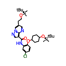 CC(C)(C)[Si](C)(C)OCCc1cnc2c(C(=O)Nc3cc(Cl)ccc3OC3CCC(O[Si](C)(C)C(C)(C)C)CC3)cnn2c1